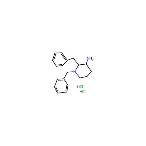 Cl.Cl.NC1CCCN(Cc2ccccc2)C1Cc1ccccc1